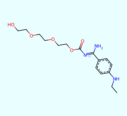 CCNc1ccc(/C(N)=N/C(=O)OCCOCCOCCO)cc1